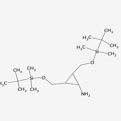 CC(C)(C)[Si](C)(C)OCC1C(N)C1CO[Si](C)(C)C(C)(C)C